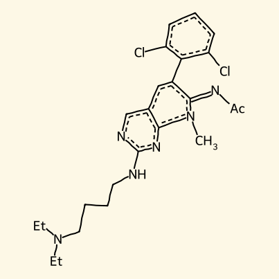 CCN(CC)CCCCNc1ncc2cc(-c3c(Cl)cccc3Cl)/c(=N/C(C)=O)n(C)c2n1